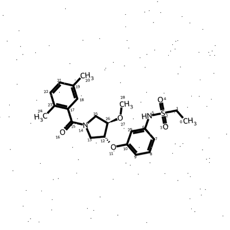 CCS(=O)(=O)Nc1cccc(O[C@@H]2CN(C(=O)c3cc(C)ccc3C)C[C@H]2OC)c1